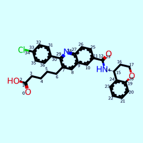 O=C(O)CCCCc1cc2cc(C(=O)N[C@@H]3CCOc4ccccc43)ccc2nc1-c1ccc(Cl)cc1